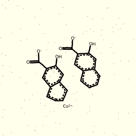 O=C([O-])c1cc2ccccc2cc1O.O=C([O-])c1cc2ccccc2cc1O.[Co+2]